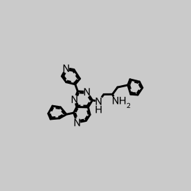 NC(CNc1nc(-c2ccncc2)nc2c(-c3ccccc3)nccc12)Cc1ccccc1